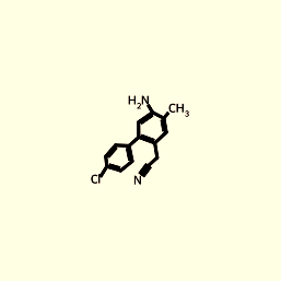 Cc1cc(CC#N)c(-c2ccc(Cl)cc2)cc1N